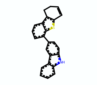 C1=Cc2sc3c(-c4ccc5[nH]c6ccccc6c5c4)cccc3c2CC1